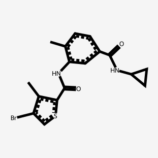 Cc1ccc(C(=O)NC2CC2)cc1NC(=O)c1scc(Br)c1C